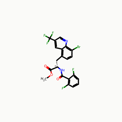 COC(=O)[C@H](Cc1ccc(Br)c2ncc(C(F)(F)F)cc12)NC(=O)c1c(F)cccc1F